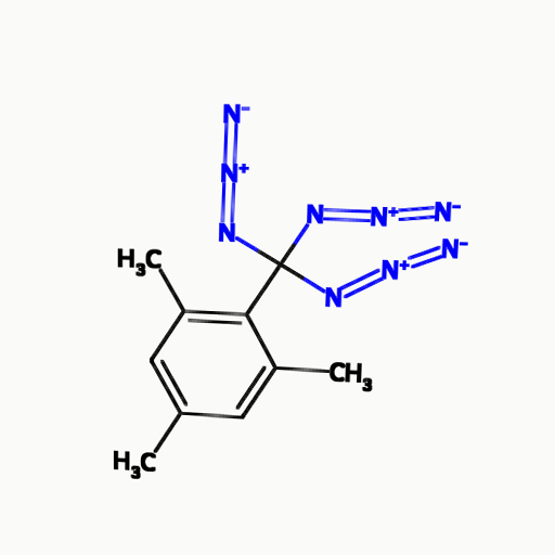 Cc1cc(C)c(C(N=[N+]=[N-])(N=[N+]=[N-])N=[N+]=[N-])c(C)c1